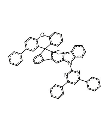 c1ccc(-c2ccc3c(c2)C2(c4ccccc4O3)c3ccccc3-c3cc4c(cc32)c2ccccc2n4-c2nc(-c3ccccc3)cc(-c3ccccc3)n2)cc1